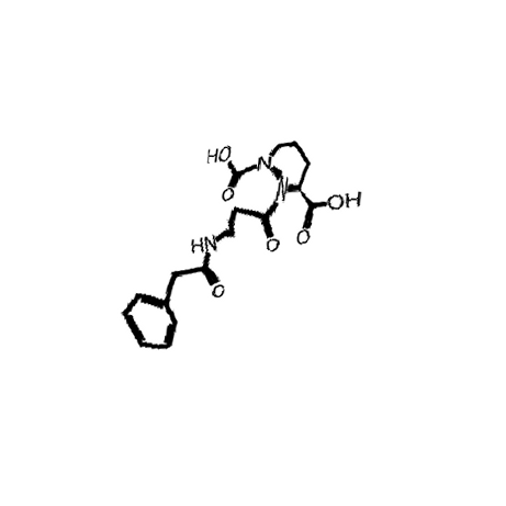 O=C(Cc1ccccc1)NCCC(=O)N1[C@H](C(=O)O)CCCN1C(=O)O